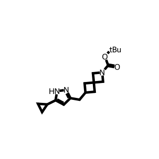 CC(C)(C)OC(=O)N1CC2(CC(Cc3cc(C4CC4)[nH]n3)C2)C1